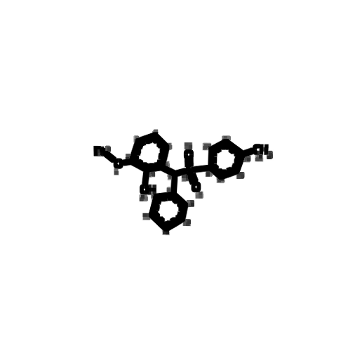 CCOc1cccc(C(c2ccccc2)S(=O)(=O)c2ccc(C)cc2)c1O